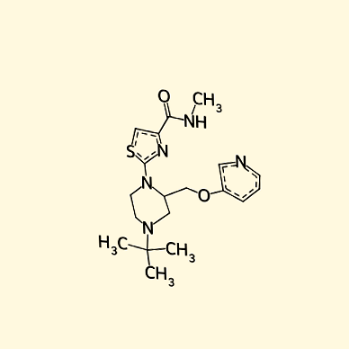 CNC(=O)c1csc(N2CCN(C(C)(C)C)CC2COc2cccnc2)n1